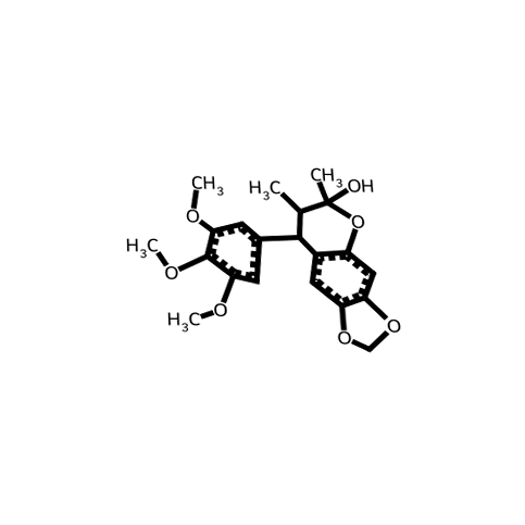 COc1cc(C2c3cc4c(cc3OC(C)(O)C2C)OCO4)cc(OC)c1OC